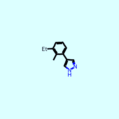 CCc1cccc(-c2cn[nH]c2)c1C